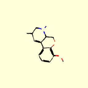 COc1cccc2c1OCC1C2=CC(C)CN1C.Cl